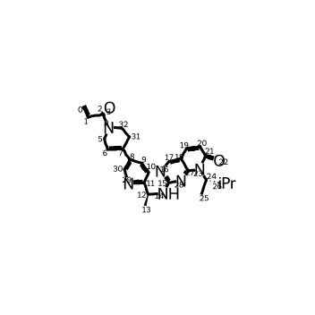 C=CC(=O)N1CC=C(c2ccc([C@H](C)Nc3ncc4ccc(=O)n([C@@H](C)C(C)C)c4n3)nc2)CC1